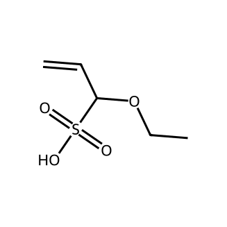 C=CC(OCC)S(=O)(=O)O